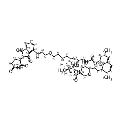 C[C@H]1C=C2C=C[C@H](C)C(CC[C@@H]3C[C@@H](O[Si](C)(C)C(C)(C)C)C(C=O)CO3)[C@H]2[C@@H](OC(=O)NCCOCCCCCOCCNc2cccc3c2C(=O)N(C2CCC(=O)NC2=O)C3=O)C1